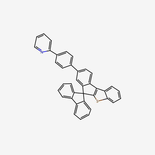 c1ccc(-c2ccc(-c3ccc4c(c3)C3(c5ccccc5-c5ccccc53)c3sc5ccccc5c3-4)cc2)nc1